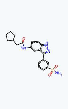 NS(=O)(=O)c1cccc(-c2n[nH]c3ccc(NC(=O)CC4CCCC4)cc23)c1